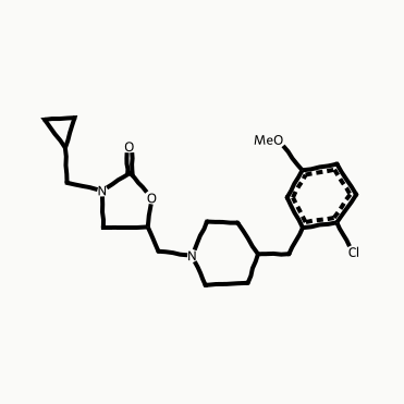 COc1ccc(Cl)c(CC2CCN(CC3CN(CC4CC4)C(=O)O3)CC2)c1